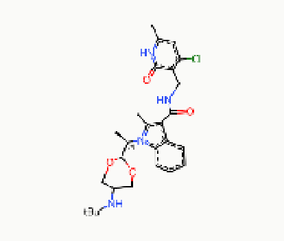 Cc1cc(Cl)c(CNC(=O)c2c(C)n([C@H](C)C3OCC(NC(C)(C)C)CO3)c3ccccc23)c(=O)[nH]1